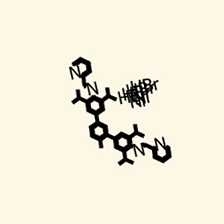 Br.Br.Br.Br.Cc1ccc(-c2cc(C(C)C)c(N=Cc3ccccn3)c(C(C)C)c2)cc1-c1cc(C(C)C)c(N=Cc2ccccn2)c(C(C)C)c1.[Ni].[Ni]